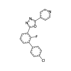 Fc1c(-c2ccc(Cl)cc2)cccc1-c1nnc(-c2ccncc2)o1